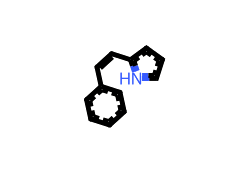 C(=C/c1ccc[nH]1)/c1ccccc1